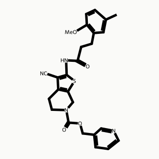 COc1ccc(C)cc1CCC(=O)Nc1sc2c(c1C#N)CCN(C(=O)OCc1cccnc1)C2